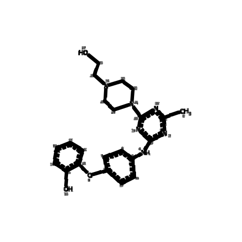 Cc1nc(Nc2ccc(Oc3ccccc3O)cc2)nc(N2CCN(CCO)CC2)n1